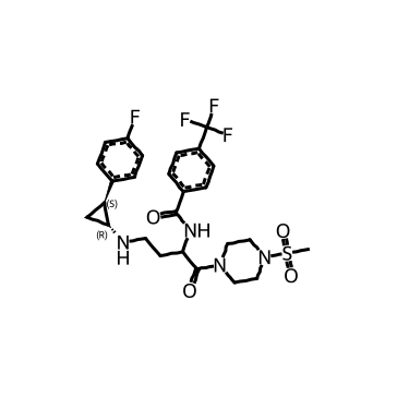 CS(=O)(=O)N1CCN(C(=O)C(CCN[C@@H]2C[C@H]2c2ccc(F)cc2)NC(=O)c2ccc(C(F)(F)F)cc2)CC1